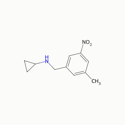 Cc1cc(CNC2CC2)cc([N+](=O)[O-])c1